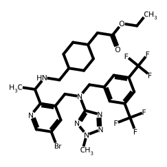 CCOC(=O)CC1CCC(CNC(C)c2ncc(Br)cc2CN(Cc2cc(C(F)(F)F)cc(C(F)(F)F)c2)c2nnn(C)n2)CC1